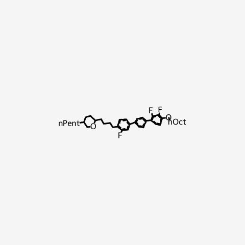 CCCCCCCCOc1ccc(-c2ccc(-c3ccc(CCCCC4CCC(CCCCC)CO4)c(F)c3)cc2)c(F)c1F